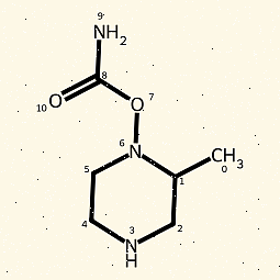 CC1CNCCN1OC(N)=O